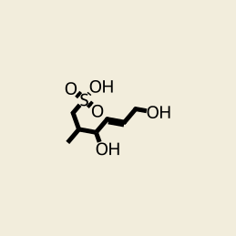 CC(CS(=O)(=O)O)C(O)C=CCO